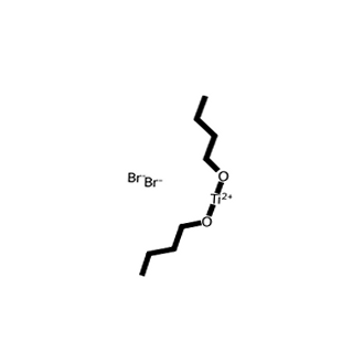 CCCC[O][Ti+2][O]CCCC.[Br-].[Br-]